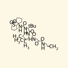 C=CCNC(=O)C(=O)CNC(=O)[C@@H]1CC(C)(C)C(C)CN1C(=O)[C@@H](NC(=O)NC1([C@H]2CCCCS2(=O)=O)CCCCC1)C(C)(C)C